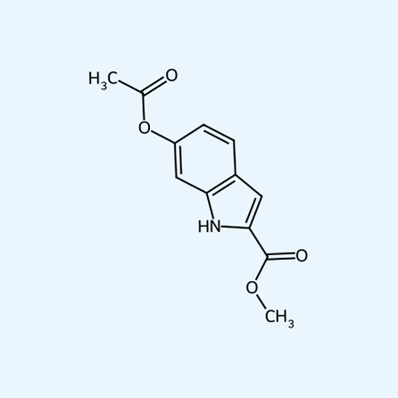 COC(=O)c1cc2ccc(OC(C)=O)cc2[nH]1